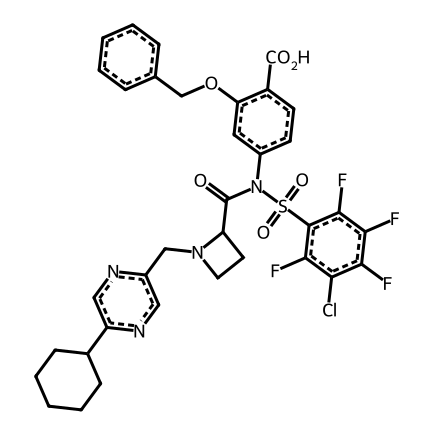 O=C(O)c1ccc(N(C(=O)C2CCN2Cc2cnc(C3CCCCC3)cn2)S(=O)(=O)c2c(F)c(F)c(F)c(Cl)c2F)cc1OCc1ccccc1